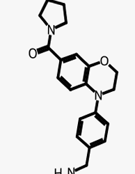 NCc1ccc(N2CCOc3cc(C(=O)N4CCCC4)ccc32)cc1